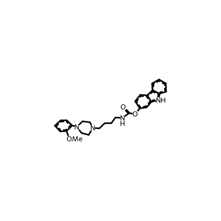 COc1ccccc1N1CCN(CCCCNC(=O)Oc2ccc3c(c2)[nH]c2ccccc23)CC1